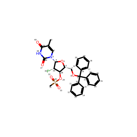 Cc1cn([C@@H]2O[C@H](COC(c3ccccc3)(c3ccccc3)c3ccccc3)[C@@H](OS(C)(=O)=O)[C@@H]2F)c(=O)[nH]c1=O